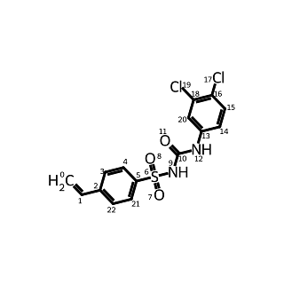 C=Cc1ccc(S(=O)(=O)NC(=O)Nc2ccc(Cl)c(Cl)c2)cc1